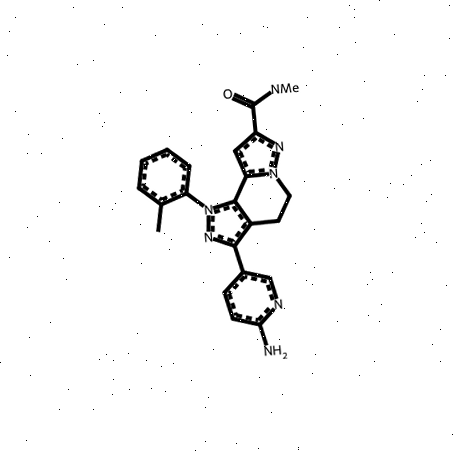 CNC(=O)c1cc2n(n1)CCc1c(-c3ccc(N)nc3)nn(-c3ccccc3C)c1-2